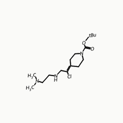 CN(C)CCNCC(Cl)=C1CCN(C(=O)OC(C)(C)C)CC1